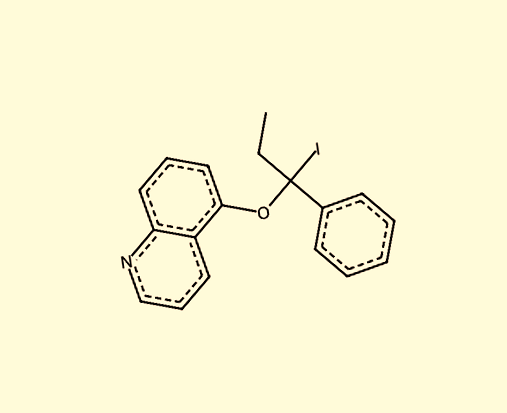 CCC(I)(Oc1cccc2ncccc12)c1ccccc1